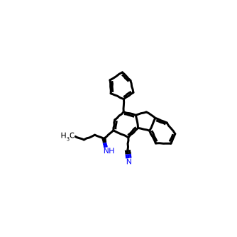 CCCC(=N)c1cc(-c2ccccc2)c2c(c1C#N)-c1ccccc1C2